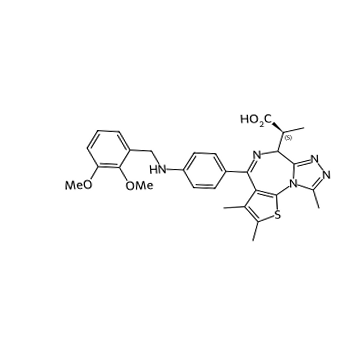 COc1cccc(CNc2ccc(C3=NC([C@H](C)C(=O)O)c4nnc(C)n4-c4sc(C)c(C)c43)cc2)c1OC